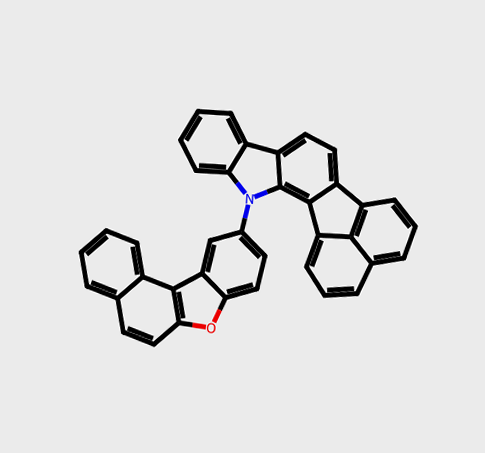 c1cc2c3c(cccc3c1)-c1c-2ccc2c3ccccc3n(-c3ccc4oc5ccc6ccccc6c5c4c3)c12